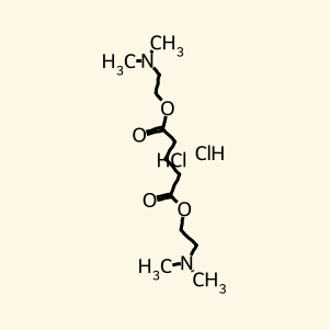 CN(C)CCOC(=O)CCCC(=O)OCCN(C)C.Cl.Cl